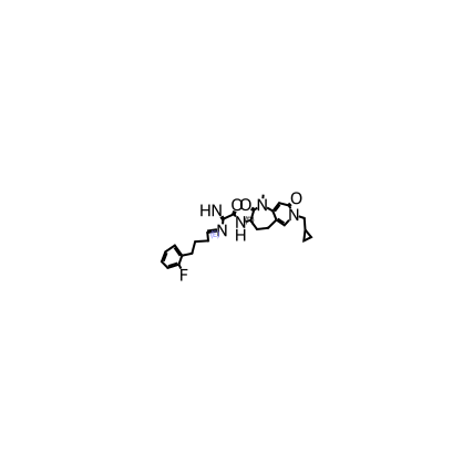 CN1C(=O)[C@H](NC(=O)C(=N)/N=C/CCCc2ccccc2F)CCc2cn(CC3CC3)c(=O)cc21